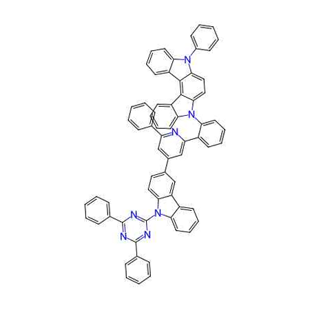 c1ccc(-c2cc(-c3ccc4c(c3)c3ccccc3n4-c3nc(-c4ccccc4)nc(-c4ccccc4)n3)cc(-c3ccccc3-n3c4ccccc4c4c5c6ccccc6n(-c6ccccc6)c5ccc43)n2)cc1